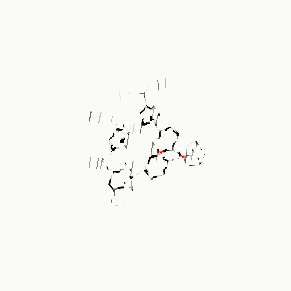 Cc1cc(Nc2cc(C)[nH]n2)nc(-c2ccc(N3CC4CC(C3)N4Cc3ccc(-n4ccc(C(C)C)n4)nc3)nc2)n1